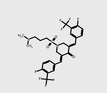 CN(C)CCCS(=O)(=O)N1C/C(=C\c2ccc(F)c(C(F)(F)F)c2)C(=O)/C(=C/c2ccc(F)c(C(F)(F)F)c2)C1